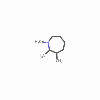 CC1CCCCN(C)C1C